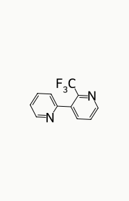 FC(F)(F)c1ncccc1-c1ccccn1